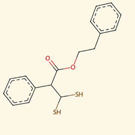 O=C(OCCc1ccccc1)C(c1ccccc1)C(S)S